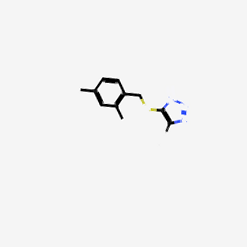 Cc1ccc(CSc2[nH]nnc2C(=O)O)c(C)c1